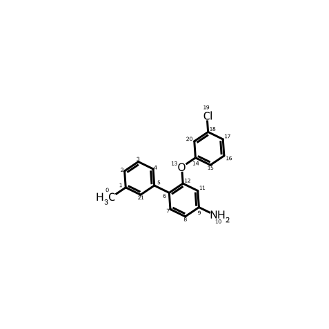 Cc1cccc(-c2ccc(N)cc2Oc2cccc(Cl)c2)c1